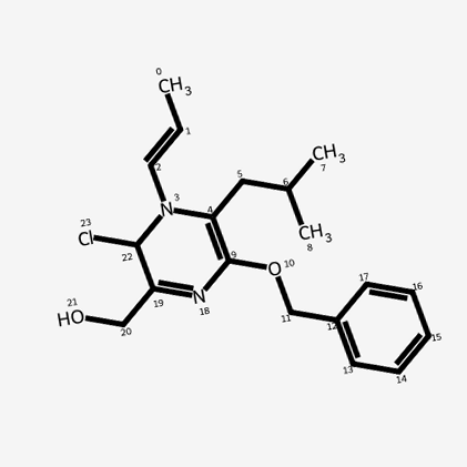 CC=CN1C(CC(C)C)=C(OCc2ccccc2)N=C(CO)C1Cl